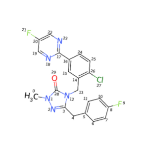 Cn1nc(Cc2ccc(F)cc2)n(Cc2cc(-c3ncc(F)cn3)ccc2Cl)c1=O